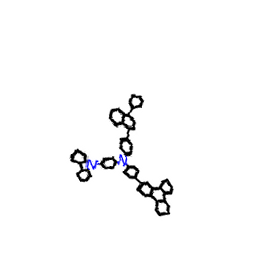 c1ccc(-c2ccc(-c3ccc(N(c4ccc(-c5ccc6c7ccccc7c7ccccc7c6c5)cc4)c4ccc(-n5c6ccccc6c6ccccc65)cc4)cc3)c3ccccc23)cc1